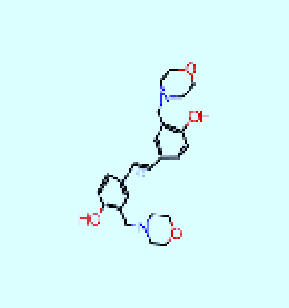 Oc1ccc(/C=C/c2ccc(O)c(CN3CCOCC3)c2)cc1CN1CCOCC1